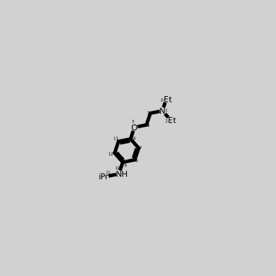 CCN(CC)CCOc1ccc(NC(C)C)cc1